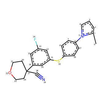 Cc1cccn1-c1ccc(Sc2cc(F)cc(C3(C#N)CCOCC3)c2)cc1